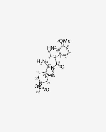 COc1cccc2c1NCC[C@@H]2C(=O)n1nc2c(c1N)CCN(S(C)(=O)=O)C2